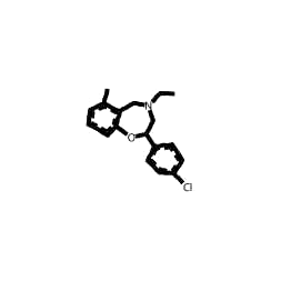 CCN1Cc2c(C)cccc2OC(c2ccc(Cl)cc2)C1